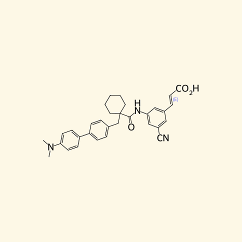 CN(C)c1ccc(-c2ccc(CC3(C(=O)Nc4cc(C#N)cc(/C=C/C(=O)O)c4)CCCCC3)cc2)cc1